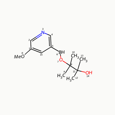 COc1cncc(BOC(C)(C)C(C)(C)O)c1